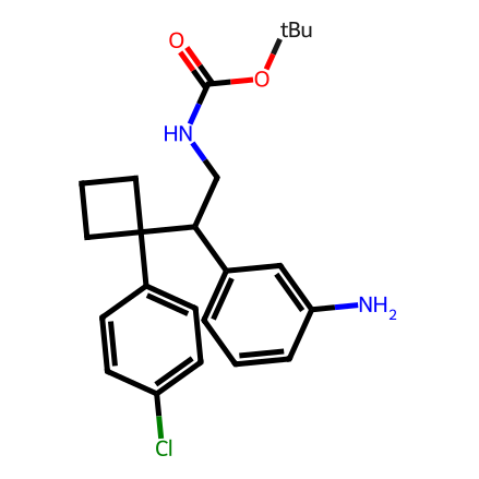 CC(C)(C)OC(=O)NCC(c1cccc(N)c1)C1(c2ccc(Cl)cc2)CCC1